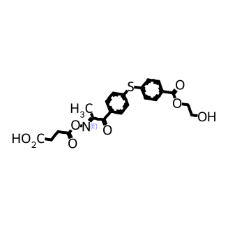 C/C(=N\OC(=O)CCC(=O)O)C(=O)c1ccc(Sc2ccc(C(=O)OCCO)cc2)cc1